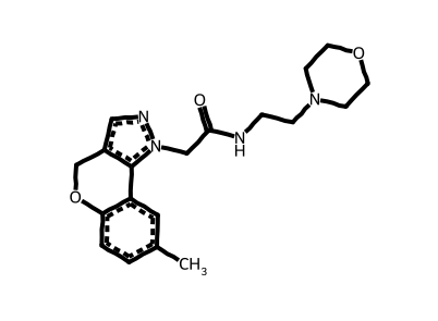 Cc1ccc2c(c1)-c1c(cnn1CC(=O)NCCN1CCOCC1)CO2